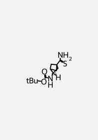 CC(C)(C)OC(=O)N[C@H]1CC2(C(N)=S)CC1C2